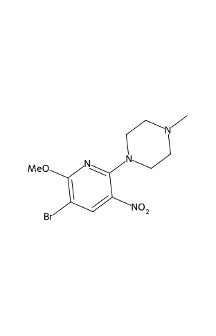 COc1nc(N2CCN(C)CC2)c([N+](=O)[O-])cc1Br